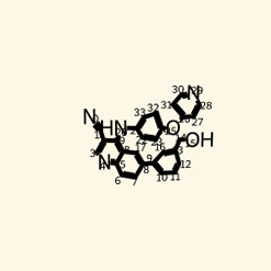 N#Cc1cnc2ccc(-c3cccc(CO)c3)cc2c1Nc1ccc(Oc2ccncc2)cc1